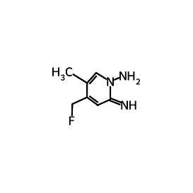 Cc1cn(N)c(=N)cc1CF